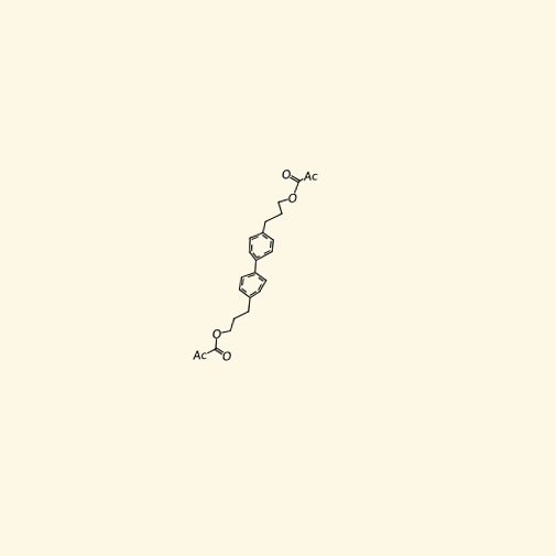 CC(=O)C(=O)OCCCc1ccc(-c2ccc(CCCOC(=O)C(C)=O)cc2)cc1